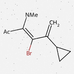 C=C(/C(Br)=C(\NC)C(C)=O)C1CC1